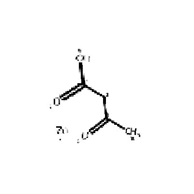 CC(=O)CC(=O)O.[Zn]